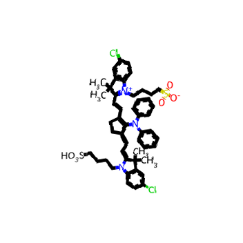 CC1(C)C(/C=C/C2=C(N(c3ccccc3)c3ccccc3)C(=C/C=C3/N(CCCCS(=O)(=O)O)c4ccc(Cl)cc4C3(C)C)/CC2)=[N+](CCCCS(=O)(=O)[O-])c2ccc(Cl)cc21